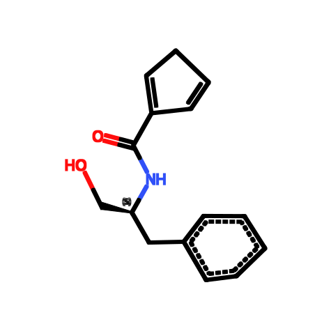 O=C(N[C@H](CO)Cc1ccccc1)C1=CCC=C1